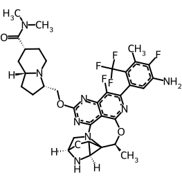 Cc1c(F)c(N)cc(-c2nc3c4c(nc(OC[C@@H]5CC[C@@H]6C[C@H](C(=O)N(C)C)CCN65)nc4c2F)N2C[C@H]4CC5[C@H](N4)C52[C@H](C)O3)c1C(F)(F)F